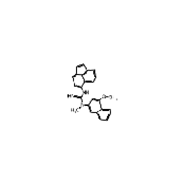 COc1cc(N(C)C(=N)Nc2ccc3c4c(cccc24)C=C3)cc2ccccc12